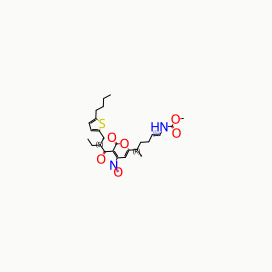 CCCCc1ccc(C[C@H](CC)C(=O)c2c(N=O)cc([C@H](C)CC/C=C/NC(=O)OC)oc2=O)s1